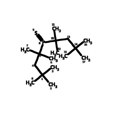 CC(C)(C)CC(C)(C)[P](=S)C(C)(C)CC(C)(C)C